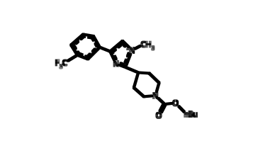 CCCCOC(=O)N1CCC(c2nc(-c3cccc(C(F)(F)F)c3)cn2C)CC1